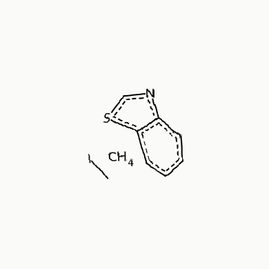 C.CI.c1ccc2scnc2c1